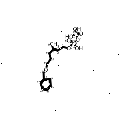 CC(=CCOP(=O)(O)OP(=O)(O)O)CCCOCc1ccccc1